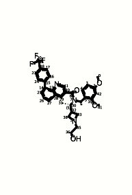 COc1ccc(CN(C(=O)c2cnc3c(-c4ccc(C(F)(F)F)cc4)cccc3c2)[C@@H](C)C2CN(CCO)C2)c(OC)c1